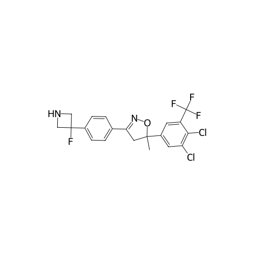 CC1(c2cc(Cl)c(Cl)c(C(F)(F)F)c2)CC(c2ccc(C3(F)CNC3)cc2)=NO1